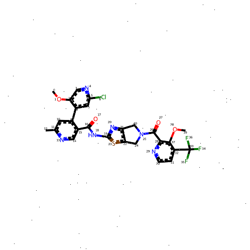 COc1cnc(Cl)cc1-c1cc(C)ncc1C(=O)Nc1nc2c(s1)CN(C(=O)c1nccc(C(F)(F)F)c1OC)C2